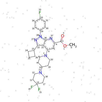 COC(=O)c1cc(N2CCC(N3CCC(F)(F)CC3)CC2)c2c(C3CCC3)nn(-c3ccc(F)cc3)c2n1